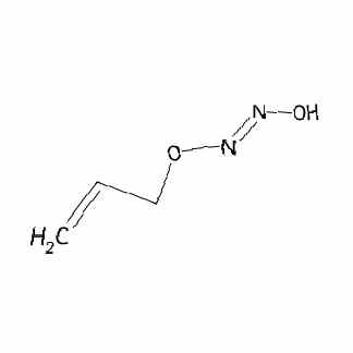 C=CCON=NO